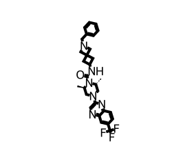 C[C@@H]1CN(c2cnc3cc(C(F)(F)F)ccc3n2)C[C@@H](C)N1C(=O)NC1CC2(C1)CN(Cc1ccccc1)C2